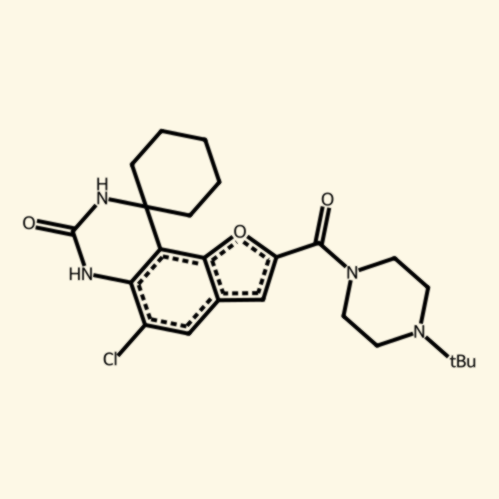 CC(C)(C)N1CCN(C(=O)c2cc3cc(Cl)c4c(c3o2)C2(CCCCC2)NC(=O)N4)CC1